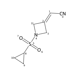 N#CC=C1CN(S(=O)(=O)C2CC2)C1